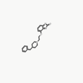 O=C1N=c2cccc(OCCN3CCC(Cc4ccccc4)CC3)c2=N1